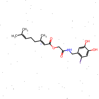 CC(C)=CCC/C(C)=C/C(=O)OCC(=O)NCc1cc(O)c(O)cc1I